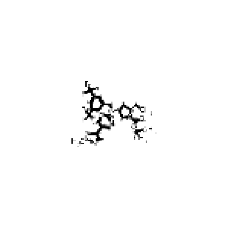 CC[C@@H]1C[C@H](N(Cc2cc(C(F)(F)F)cc(C(F)(F)F)c2)c2ncc(C3C=NN(C)C3)cn2)CN1C(=O)OC(C)C